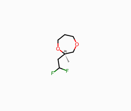 C[C@@]1(CC(F)F)COCCCO1